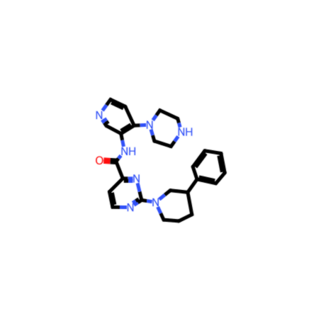 O=C(Nc1cnccc1N1CCNCC1)c1ccnc(N2CCCC(c3ccccc3)C2)n1